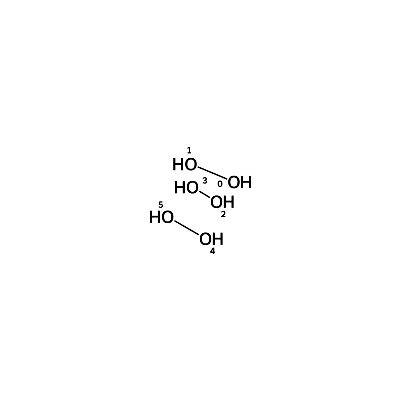 OO.OO.OO